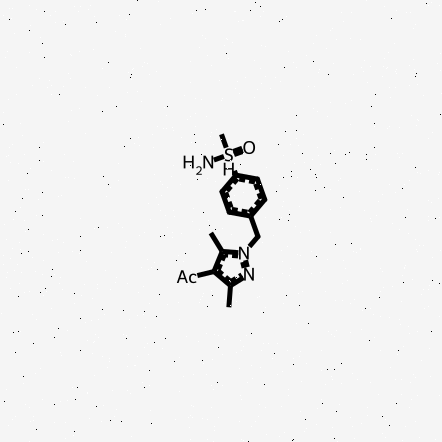 CC(=O)c1c(C)nn(Cc2ccc([SH](C)(N)=O)cc2)c1C